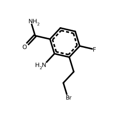 NC(=O)c1ccc(F)c(CCBr)c1N